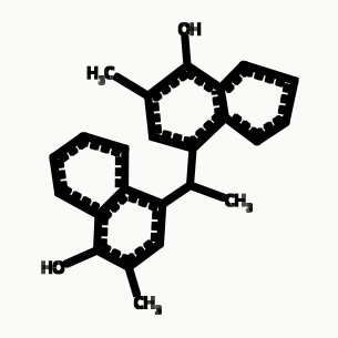 Cc1cc(C(C)c2cc(C)c(O)c3ccccc23)c2ccccc2c1O